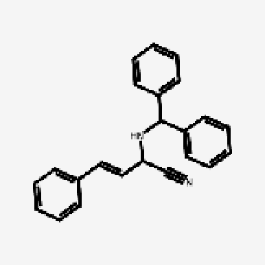 N#CC(C=Cc1ccccc1)NC(c1ccccc1)c1ccccc1